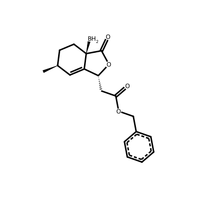 B[C@]12CC[C@H](C)C=C1[C@@H](CC(=O)OCc1ccccc1)OC2=O